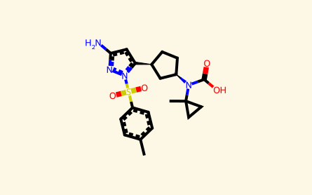 Cc1ccc(S(=O)(=O)n2nc(N)cc2[C@H]2CC[C@@H](N(C(=O)O)C3(C)CC3)C2)cc1